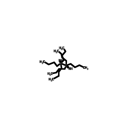 CCCCS(=N)(CCCC)(CCCC)S(=N)(CCCC)(CCCC)CCCC